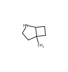 CC12CCNC1CC2